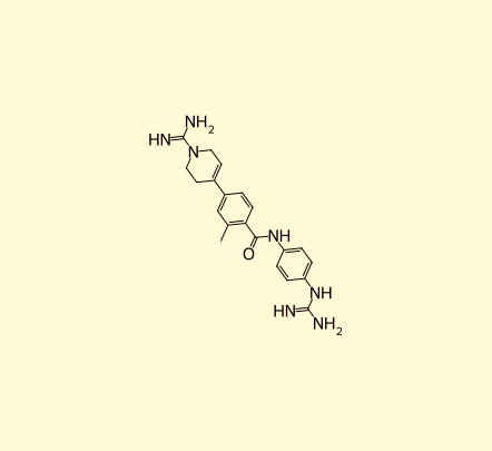 Cc1cc(C2=CCN(C(=N)N)CC2)ccc1C(=O)Nc1ccc(NC(=N)N)cc1